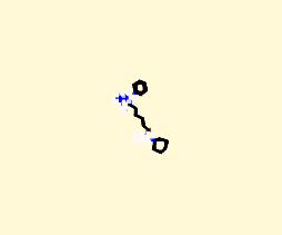 O=C(CCCCc1nnnn1-c1ccccc1)NC1CCCCC1